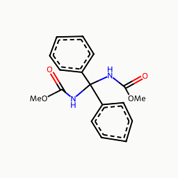 COC(=O)NC(NC(=O)OC)(c1ccccc1)c1ccccc1